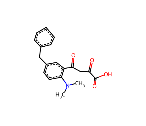 CN(C)c1ccc(Cc2ccccc2)cc1C(=O)CC(=O)C(=O)O